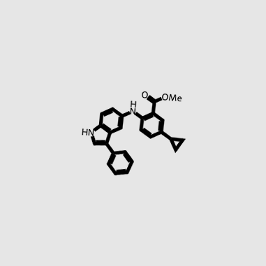 COC(=O)c1cc(C2CC2)ccc1Nc1ccc2[nH]cc(-c3ccccc3)c2c1